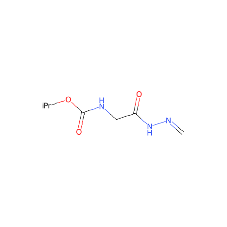 C=NNC(=O)CNC(=O)OC(C)C